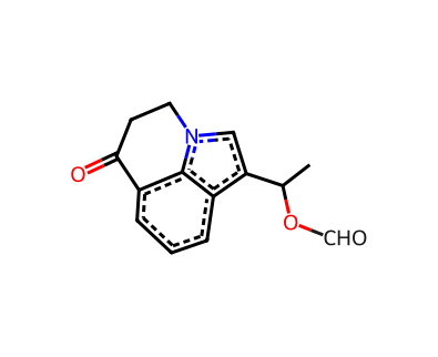 CC(OC=O)c1cn2c3c(cccc13)C(=O)CC2